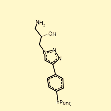 CCCCCc1ccc(-c2cn(C[C@@H](O)CN)nn2)cc1